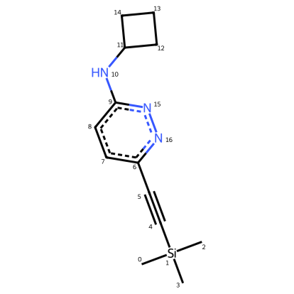 C[Si](C)(C)C#Cc1ccc(NC2CCC2)nn1